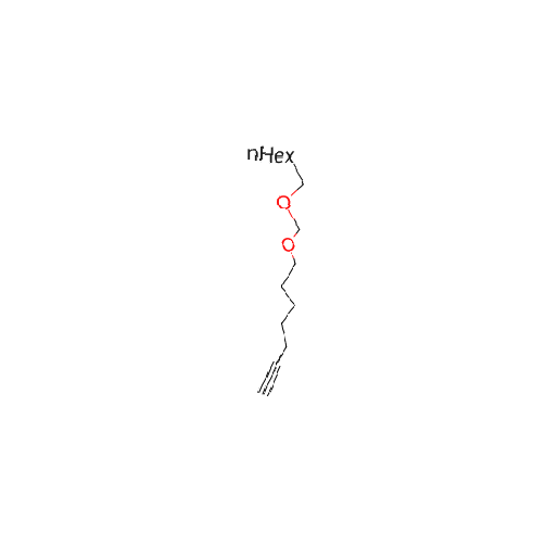 C#CCCCCCOCOCCCCCCC